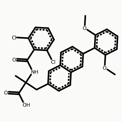 COc1cccc(OC)c1-c1ccc2cc(CC(C)(NC(=O)c3c(Cl)cccc3Cl)C(=O)O)ccc2c1